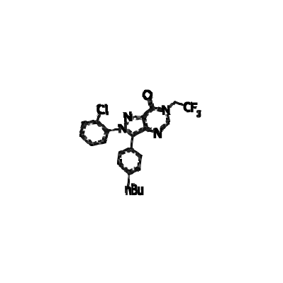 CCCCc1ccc(-c2c3ncn(CC(F)(F)F)c(=O)c3nn2-c2ccccc2Cl)cc1